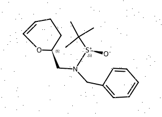 CC(C)(C)[S@@+]([O-])N(Cc1ccccc1)C[C@@H]1CCC=CO1